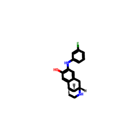 Oc1cc2c(cc1Nc1cccc(F)c1)C[C@@H]1NCC[C@]23CCCC[C@H]13